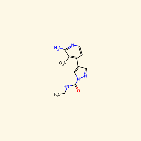 Nc1nccc(-c2cnn(C(=O)NCC(F)(F)F)c2)c1[N+](=O)[O-]